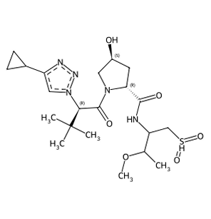 COC(C)C(C[SH](=O)=O)NC(=O)[C@H]1C[C@H](O)CN1C(=O)[C@H](n1cc(C2CC2)nn1)C(C)(C)C